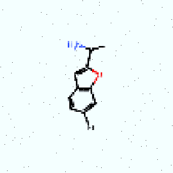 CCc1ccc2cc(C(C)N)oc2c1